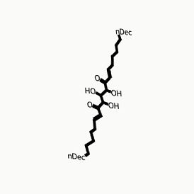 CCCCCCCCCCCCCCCC=CC(=O)C(O)C(O)C(O)C(=O)C=CCCCCCCCCCCCCCCC